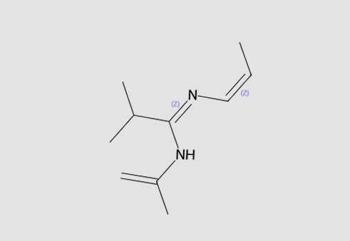 C=C(C)N/C(=N\C=C/C)C(C)C